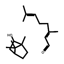 CC(C)=CCCC(C)=CC=O.CC1(C)C2CCC1(C)C(O)C2